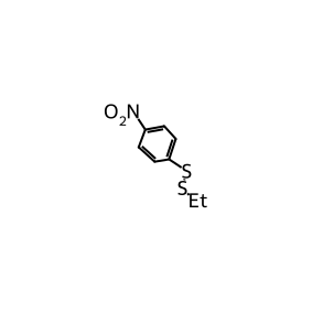 CCSSc1ccc([N+](=O)[O-])cc1